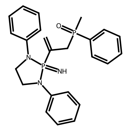 C=C(CP(C)(=O)c1ccccc1)P1(=N)N(c2ccccc2)CCN1c1ccccc1